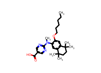 CCCCCCOc1cc2c(cc1N(C)c1ncc(C(=O)O)cn1)C(C)(C)CCC2(C)C